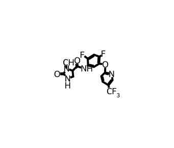 CN1C(=O)NCC1C(=O)Nc1cc(Oc2ccc(C(F)(F)F)cn2)c(F)cc1F